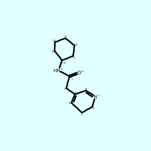 O=C(CC1=CCCN=C1)NC1CCCCC1